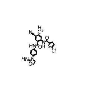 Cc1cc(NC(=O)c2ccc(Cl)s2)c(C(=O)Nc2ccc(N3CCOC3=N)cc2)cc1C#N